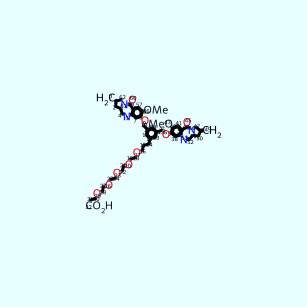 C=C1CC2C=Nc3cc(OCc4cc(CCCOCCOCCOCCOCCOCCC(=O)O)cc(COc5cc6c(cc5OC)C(=O)N5CC(=C)CC5C=N6)c4)c(OC)cc3C(=O)N2C1